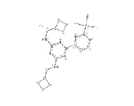 C[C@@H](Nc1nc(NCC2CCC2)nc(-c2cccc(C(F)(F)F)n2)n1)C1CCC1